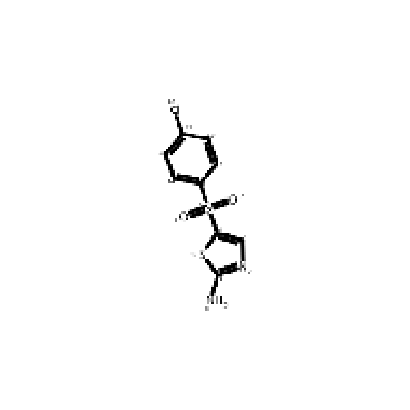 Nc1ncc(S(=O)(=O)c2ccc(Cl)cc2)s1